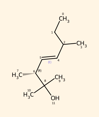 CCC(C)/C=C/[C@@H](C)C(C)(C)O